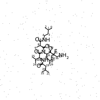 CC(C)CCNC(=O)C(C)C(=O)N(C(=O)C(NC(=O)CC(C)C)C(C)C)C(CC(C)C)C(=O)C(F)(F)CN